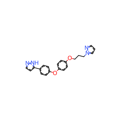 c1cnn(CCCOc2ccc(Oc3ccc(-c4ccn[nH]4)cc3)cc2)c1